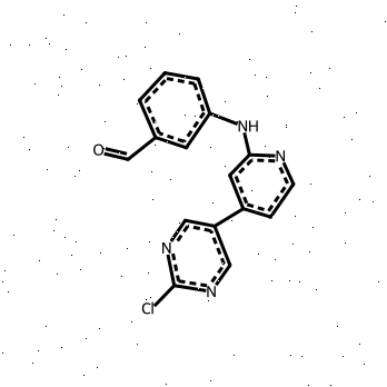 O=Cc1cccc(Nc2cc(-c3cnc(Cl)nc3)ccn2)c1